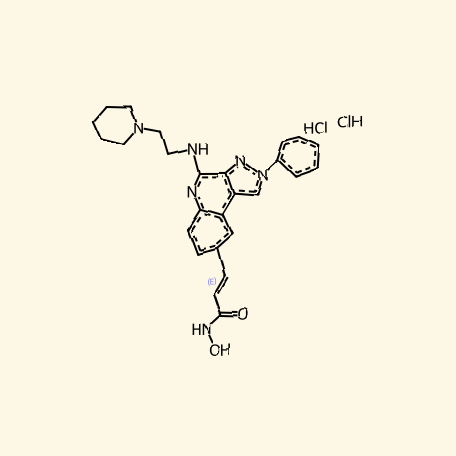 Cl.Cl.O=C(/C=C/c1ccc2nc(NCCN3CCCCC3)c3nn(-c4ccccc4)cc3c2c1)NO